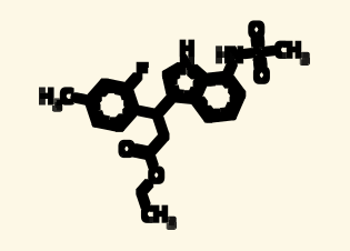 CCOC(=O)CC(c1ccc(C)cc1F)c1c[nH]c2c(NS(C)(=O)=O)cccc12